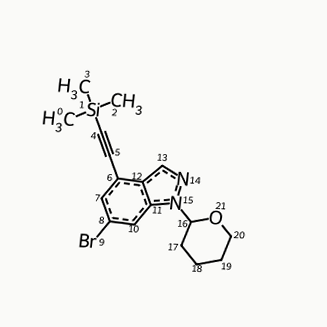 C[Si](C)(C)C#Cc1cc(Br)cc2c1cnn2C1CCCCO1